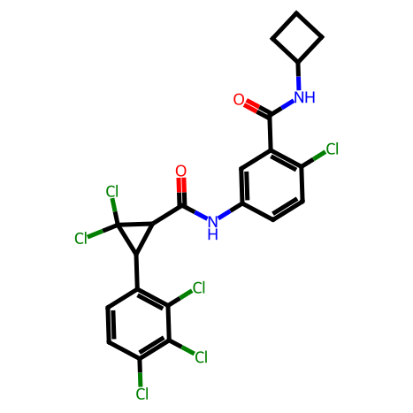 O=C(NC1CCC1)c1cc(NC(=O)C2C(c3ccc(Cl)c(Cl)c3Cl)C2(Cl)Cl)ccc1Cl